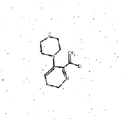 C=C(CC)C1=NCCC=C1N1CCNCC1